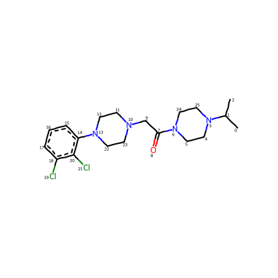 CC(C)N1CCN(C(=O)CN2CCN(c3cccc(Cl)c3Cl)CC2)CC1